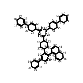 C1=CCC(C2=CCC(c3nc(C4C=CC(C5=CCCC=C5)CC4)nc(C4CCC(c5cc(C6=CCCC=C6)cnc5C5=C6C=CCCC6CC=C5)CC4)n3)CC2)C=C1